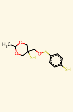 CC1OCC(S)(COSc2ccc(S)cc2)CO1